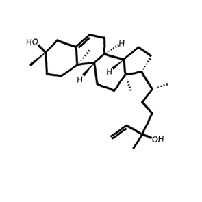 C=CC(C)(O)CC[C@@H](C)[C@H]1CC[C@H]2[C@@H]3CC=C4C[C@@](C)(O)CC[C@]4(C)[C@H]3CC[C@]12C